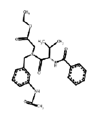 CCOC(=O)CN(Cc1cccc(NC(C)=O)c1)C(=O)[C@@H](NC(=O)c1ccccc1)C(C)C